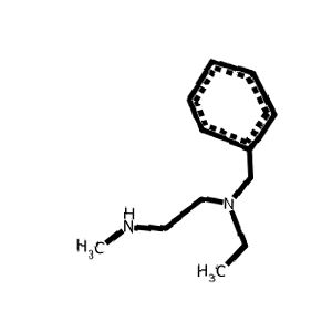 CCN(CCNC)Cc1ccccc1